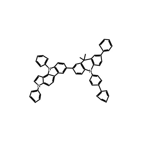 CC1(C)c2cc(-c3ccccc3)ccc2N(c2ccc(-c3ccccc3)cc2)c2ccc(-c3ccc4c(c3)c3ccc5c(ccn5-c5ccccc5)c3n4-c3ccccc3)cc21